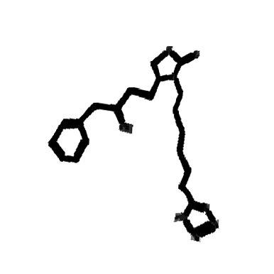 O=C1SCC(CCC(O)Cc2ccccc2)N1CCCCCCc1nnn[nH]1